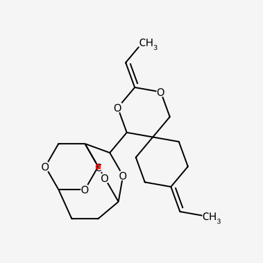 CC=C1CCC2(CC1)COC(=CC)OC2C1OC2CCC3OCC1(CO3)CO2